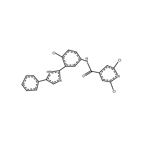 O=C(Nc1ccc(Cl)c(-c2ncc(-c3ccccc3)[nH]2)c1)c1cc(Cl)nc(Cl)c1